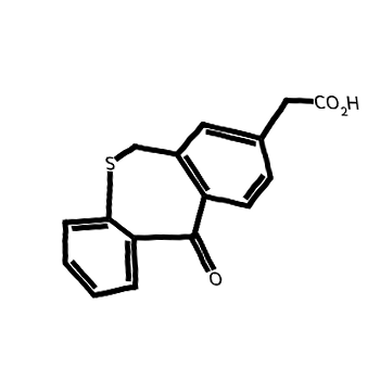 O=C(O)Cc1ccc2c(c1)CSc1ccccc1C2=O